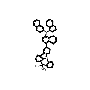 CC1(C)c2ccccc2-n2c3ccc(-c4ccc(N(c5ccc6ccccc6c5)c5cccc6ccccc56)c5ccccc45)cc3c3cccc1c32